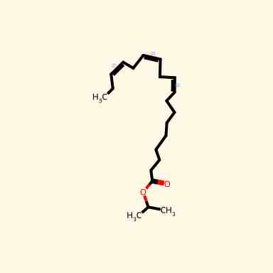 CC/C=C\C/C=C\C/C=C\CCCCCCCC(=O)OC(C)C